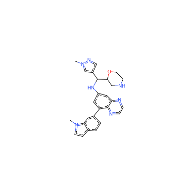 Cn1cc(C(Nc2cc(-c3ccc4ccn(C)c4c3)c3nccnc3c2)C2CNCCO2)cn1